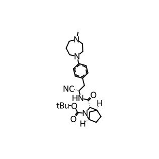 CN1CCCN(c2ccc(C[C@@H](C#N)NC(=O)[C@@H]3[C@H]4CC[C@H](C4)N3C(=O)OC(C)(C)C)cc2)CC1